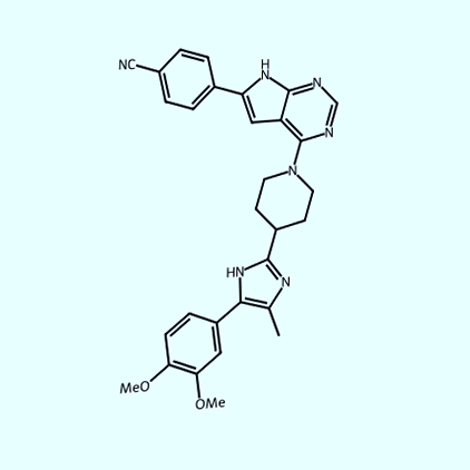 COc1ccc(-c2[nH]c(C3CCN(c4ncnc5[nH]c(-c6ccc(C#N)cc6)cc45)CC3)nc2C)cc1OC